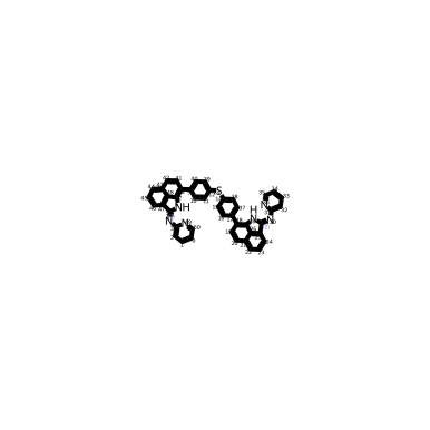 c1ccc(/N=C2\Nc3c(-c4ccc(Sc5ccc(-c6ccc7cccc8c7c6N/C8=N\c6ccccn6)cc5)cc4)ccc4cccc2c34)nc1